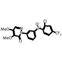 COc1cnn(-c2cccc([S+]([O-])c3ccc(C(F)(F)F)cc3Cl)c2)c(=O)c1OC